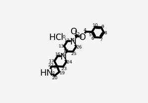 Cl.O=C(OCc1ccccc1)N1CCC(N2CCC3(CCNC3)CC2)CC1